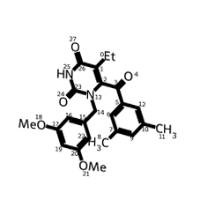 CCc1c(C(=O)c2cc(C)cc(C)c2)n(Cc2cc(OC)cc(OC)c2)c(=O)[nH]c1=O